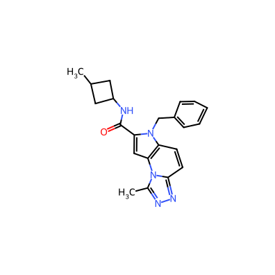 Cc1nnc2ccc3c(cc(C(=O)NC4CC(C)C4)n3Cc3ccccc3)n12